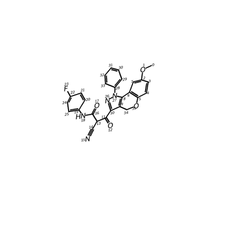 COc1ccc2c(c1)-c1c(c(C(=O)C(C#N)C(=O)Nc3ccc(F)cc3)nn1-c1ccccc1)CO2